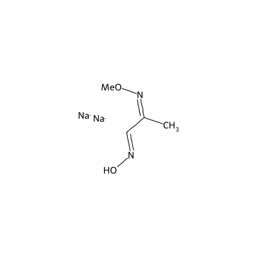 CON=C(C)C=NO.[Na].[Na]